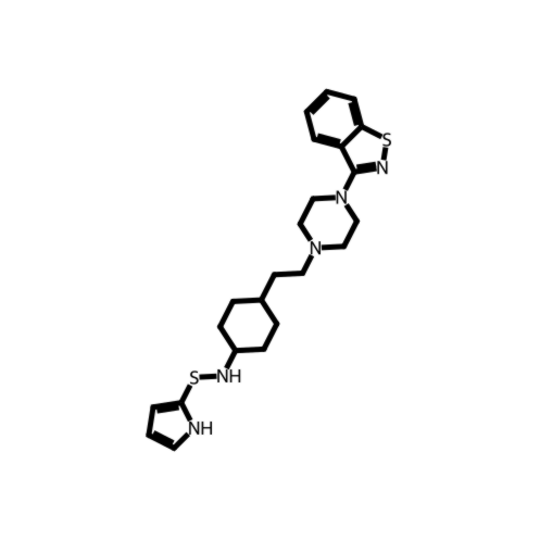 c1c[nH]c(SNC2CCC(CCN3CCN(c4nsc5ccccc45)CC3)CC2)c1